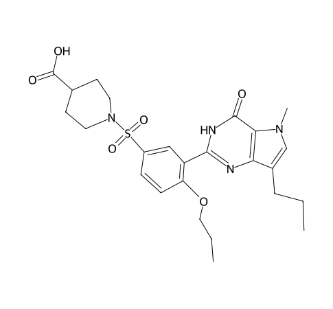 CCCOc1ccc(S(=O)(=O)N2CCC(C(=O)O)CC2)cc1-c1nc2c(CCC)cn(C)c2c(=O)[nH]1